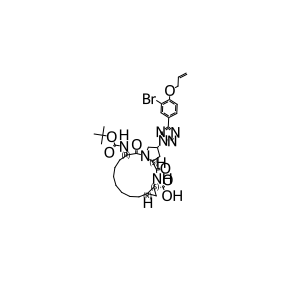 C=CCOc1ccc(-c2nnn(C3C[C@H]4C(=O)N[C@@]5(C(=O)O)C[C@H]5CCCCCCC[C@@H](NC(=O)OC(C)(C)C)C(=O)N4C3)n2)cc1Br